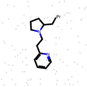 CC(C)CC1CCCN1CCc1ccccn1